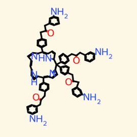 Nc1cccc(CC(=O)Cc2ccc(C3=C4C=CC(N4)C(c4ccc(CC(=O)Cc5cccc(N)c5)cc4)(c4ccc(CC(=O)Cc5cccc(N)c5)cc4)C4=NC(=C(c5ccc(CC(=O)Cc6cccc(N)c6)cc5)c5ccc([nH]5)C=C5C=CC3=N5)C=C4)cc2)c1